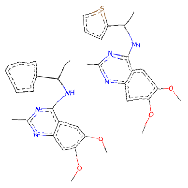 COc1cc2nc(C)nc(NC(C)c3ccccc3)c2cc1OC.COc1cc2nc(C)nc(NC(C)c3cccs3)c2cc1OC